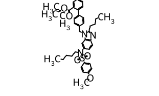 CCCCCN(c1ccc2nc(CCCC)n(Cc3ccc(-c4ccccc4C(=O)OC(C)(C)C)cc3)c2c1)S(=O)(=O)c1ccc(OC)cc1